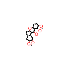 O=c1c2c3c(ccc2oc2ccc4cc5c(cc4c12)OCO5)OCO3